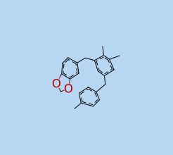 Cc1ccc(Cc2cc(C)c(C)c(Cc3ccc4c(c3)OCO4)c2)cc1